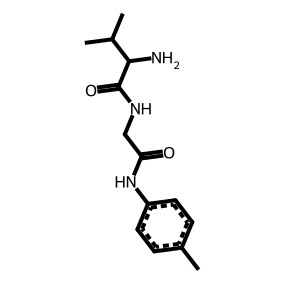 Cc1ccc(NC(=O)CNC(=O)C(N)C(C)C)cc1